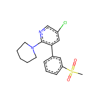 CS(=O)(=O)c1cccc(-c2cc(Cl)cnc2N2CCCCC2)c1